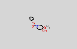 COC1CCN(C(=O)OCc2ccccc2)CC[C@@H]1O